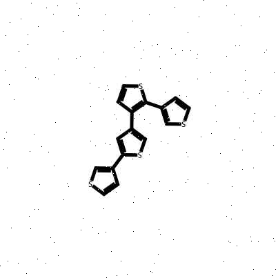 [c]1[c]c(-c2csc(-c3ccsc3)c2)c(-c2ccsc2)s1